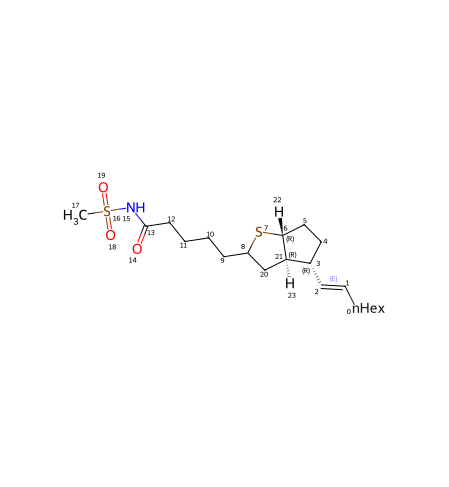 CCCCCC/C=C/[C@H]1CC[C@H]2SC(CCCCC(=O)NS(C)(=O)=O)C[C@H]12